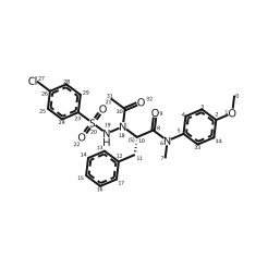 COc1ccc(N(C)C(=O)[C@H](Cc2ccccc2)N(NS(=O)(=O)c2ccc(Cl)cc2)C(C)=O)cc1